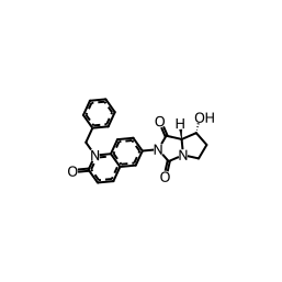 O=C1[C@@H]2[C@H](O)CCN2C(=O)N1c1ccc2c(ccc(=O)n2Cc2ccccc2)c1